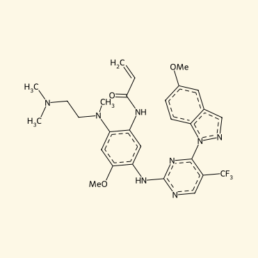 C=CC(=O)Nc1cc(Nc2ncc(C(F)(F)F)c(-n3ncc4cc(OC)ccc43)n2)c(OC)cc1N(C)CCN(C)C